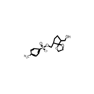 Cc1ccc(S(=O)(=O)OCC2CCC(CO)C23OCCO3)cc1